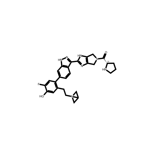 O=C([C@@H]1CCCN1)N1Cc2nc(-c3n[nH]c4cc(-c5cc(F)c(O)cc5CC[N+]56CC5C6)ccc34)[nH]c2C1